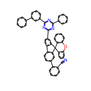 N#Cc1ccccc1-c1ccc2c(c1)C1(c3ccccc3Oc3ccccc31)c1cc(-c3nc(-c4ccccc4)nc(-c4cccc(-c5ccccc5)c4)n3)ccc1-2